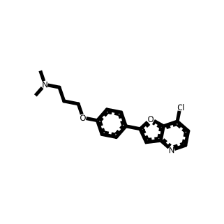 CN(C)CCCOc1ccc(-c2cc3nccc(Cl)c3o2)cc1